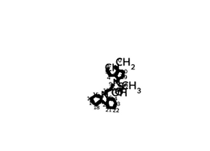 C=CC1=C(/C=C\C)C(N(CC(O)Cn2c3ccccc3c3ccccc32)[S+](C)[O-])CC1